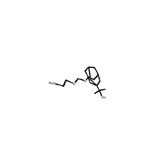 COCCOCOC12CC3CC(C1)CC(C(C)(C)O)(C3)C2